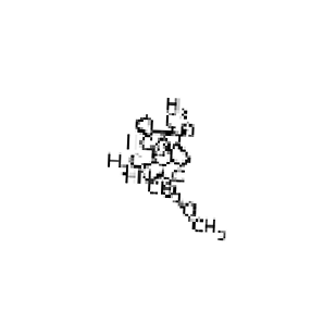 CCOCCOC(=O)C1=C(C)NC(C)=C(C(=O)O)C1c1cccc2c(=O)c(C)c(-c3ccccc3)oc12